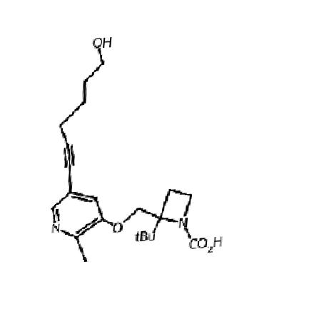 Cc1ncc(C#CCCCCO)cc1OCC1(C(C)(C)C)CCN1C(=O)O